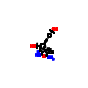 Cc1n[nH]c2c1C(c1cc(C#C[C@H]3C[C@@H](C(C)(C)O)C3)cc(C(C)(C)O)c1)(C(C)C)C(C#N)=C(N)O2